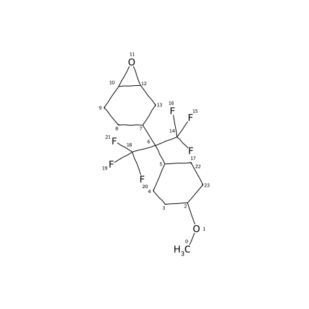 COC1CCC(C(C2CCC3OC3C2)(C(F)(F)F)C(F)(F)F)CC1